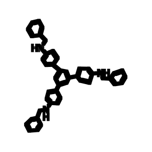 c1ccc(CNc2ccc(-c3cc(-c4ccc(NCc5ccccc5)cc4)cc(-c4ccc(NCc5ccccc5)cc4)c3)cc2)cc1